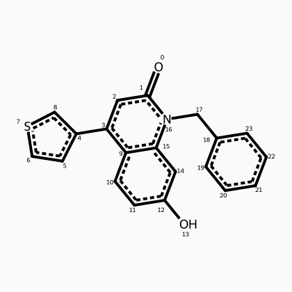 O=c1cc(-c2ccsc2)c2ccc(O)cc2n1Cc1ccccc1